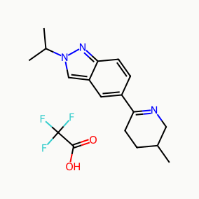 CC1CCC(c2ccc3nn(C(C)C)cc3c2)=NC1.O=C(O)C(F)(F)F